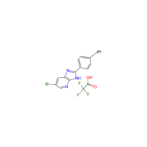 CC(C)c1ccc(-c2nc3cc(Br)cnc3[nH]2)cc1.O=C(O)C(F)(F)F